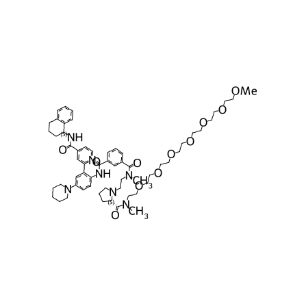 COCCOCCOCCOCCOCCOCCOCCN(C)C(=O)[C@@H]1CCCN1CCN(C)C(=O)c1cccc(C(=O)Nc2ccc(N3CCCCC3)cc2-c2cc(C(=O)N[C@H]3CCCc4ccccc43)ccn2)c1